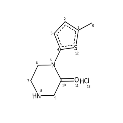 Cc1ccc(N2CCNCC2=O)s1.Cl